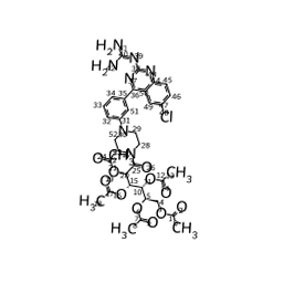 CC(=O)OC[C@@H](OC(C)=O)[C@@H](OC(C)=O)[C@H](OC(C)=O)[C@@H](OC(C)=O)C(=O)N1CCN(c2cccc(-c3nc(N=C(N)N)nc4ccc(Cl)cc34)c2)CC1